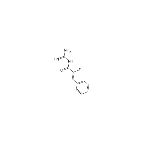 N=C(N)NC(=O)C(F)=Cc1ccccc1